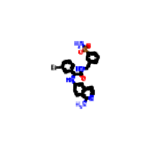 CCc1cccc(C(Nc2ccc3c(N)nccc3c2)C(=O)NCc2cccc(S(N)(=O)=O)c2)c1